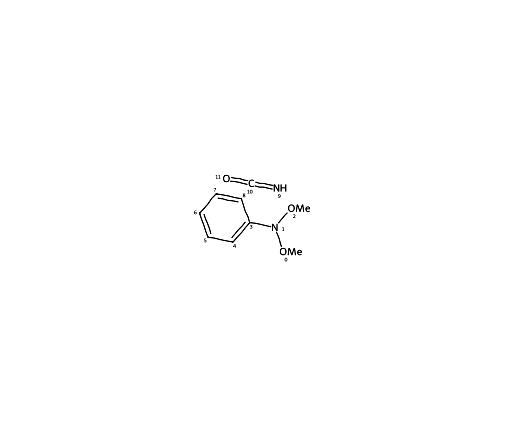 CON(OC)c1ccccc1.N=C=O